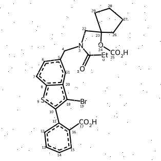 CCC(=O)N(Cc1ccc2sc(-c3ccccc3C(=O)O)c(Br)c2c1)CC1(OC(=O)O)CCCC1